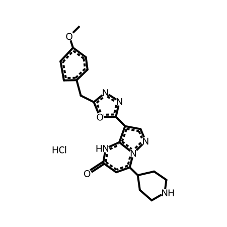 COc1ccc(Cc2nnc(-c3cnn4c(C5CCNCC5)cc(=O)[nH]c34)o2)cc1.Cl